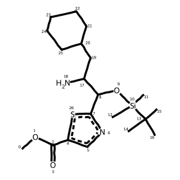 COC(=O)c1cnc(C(O[Si](C)(C)C(C)(C)C)C(N)CC2CCCCC2)s1